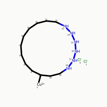 [Cl-].[Cl-].[Cu+2][CH]1CCCCCCCCCNNNNNNCC1